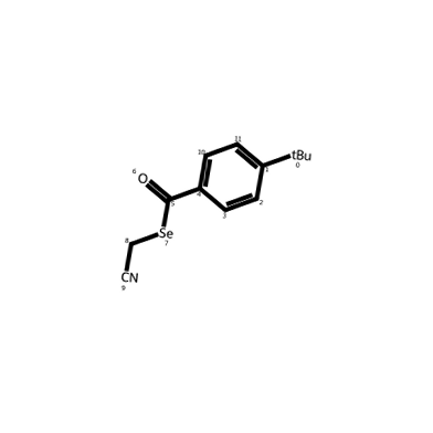 CC(C)(C)c1ccc(C(=O)[Se]CC#N)cc1